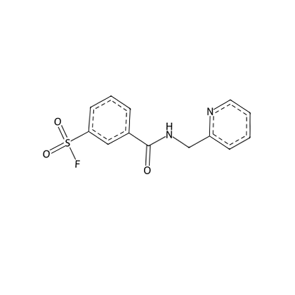 O=C(NCc1ccccn1)c1cccc(S(=O)(=O)F)c1